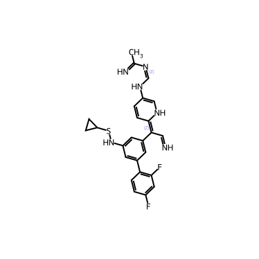 CC(=N)/N=C\NC1=CN/C(=C(\C=N)c2cc(NSC3CC3)cc(-c3ccc(F)cc3F)c2)C=C1